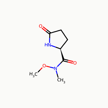 CON(C)C(=O)[C@@H]1CCC(=O)N1